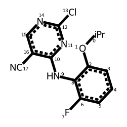 CC(C)Oc1cccc(F)c1Nc1nc(Cl)ncc1C#N